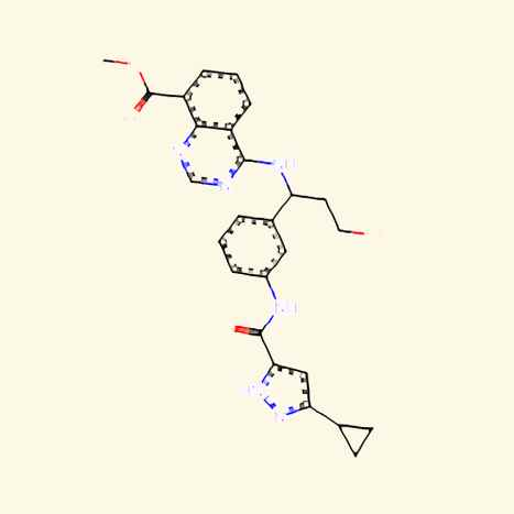 COC(=O)c1cccc2c(NC(CCO)c3cccc(NC(=O)c4cc(C5CC5)n[nH]4)c3)ncnc12